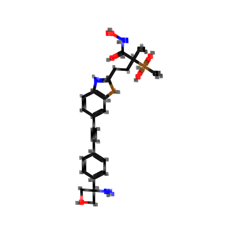 CC(CCc1nc2ccc(C#Cc3ccc(C4(N)COC4)cc3)cc2s1)(C(=O)NO)S(C)(=O)=O